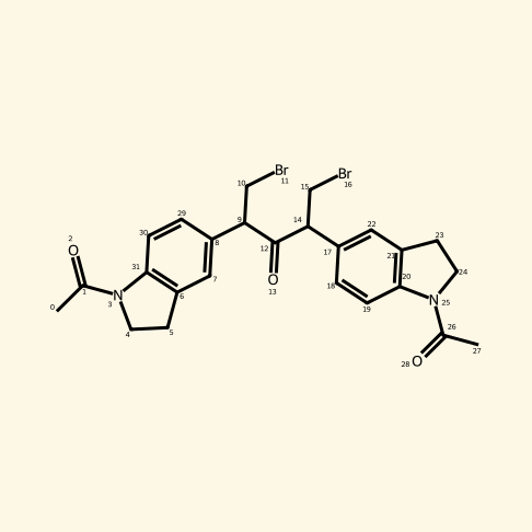 CC(=O)N1CCc2cc(C(CBr)C(=O)C(CBr)c3ccc4c(c3)CCN4C(C)=O)ccc21